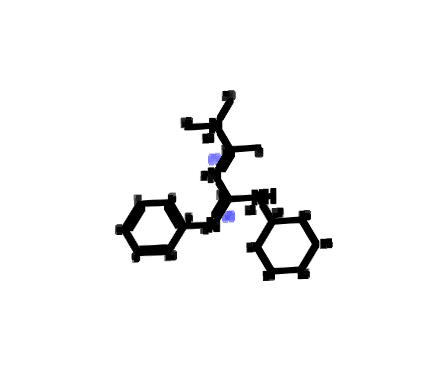 C/C(=N\C(=N/c1ccccc1)NC1CCCCC1)N(C)C